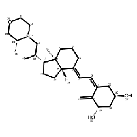 C=C1/C(=C\C=C2/CCC[C@]3(C)[C@@H](C(C)CN4CCOC[C@H]4C)CC[C@@H]23)C[C@@H](O)C[C@@H]1O